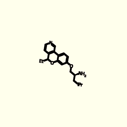 CCC1Oc2cc(OC[C@@H](N)CC(C)C)ccc2-c2cnccc21